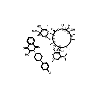 CC[C@H]1OC(=O)[C@H](C)[C@@H](O[C@H]2C[C@@](C)(OC)[C@@H](O)[C@H](C)O2)[C@H](C)[C@@H](O[C@@H]2O[C@H](C)C[C@H](N(C)C)[C@H]2O)[C@](C)(O)C[C@@H](C)CN(C)[C@H](C)[C@@H](O)[C@]1(C)O.O=C1C(O)=C([C@H]2CC[C@H](c3ccc(Cl)cc3)CC2)C(=O)c2ccccc21